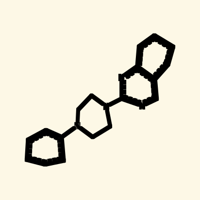 c1ccc(N2CCN(c3ncc4ccccc4n3)CC2)cc1